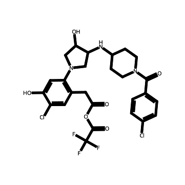 O=C(Cc1cc(Cl)c(O)cc1N1CC(O)C(NC2CCN(C(=O)c3ccc(Cl)cc3)CC2)C1)OC(=O)C(F)(F)F